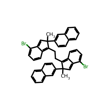 CC1(c2ccc3ccccc3c2)C=c2c(Br)cccc2=C1CCC1=c2cccc(Br)c2=CC1(C)c1ccc2ccccc2c1